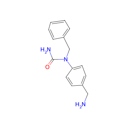 NCc1ccc(N(Cc2ccccc2)C(N)=O)cc1